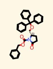 O=C1CC[C@@H](COC(c2ccccc2)(c2ccccc2)c2ccccc2)N1C(=O)OCc1ccccc1